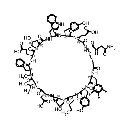 CCCC[C@H]1C(=O)N2C[C@H](O)C[C@@H]2C(=O)N[C@@H](CC(=O)O)C(=O)N[C@@H](C(C)C)C(=O)N(C)[C@@H](Cc2ccccc2)C(=O)N[C@@H](CCC(=O)O)C(=O)N2C[C@H](O)C[C@@H]2C(=O)N[C@@H](Cc2c[nH]c3ccccc23)C(=O)N[C@@H](Cc2ccc(O)cc2)C(=O)N[C@@H](CCC(=O)O)C(=O)N[C@H](C(=O)NCC(N)=O)CSCC(=O)N[C@@H](Cc2cc(F)c(F)c(F)c2)C(=O)N(C)[C@@H](Cc2ccc(O)cc2)C(=O)N1C